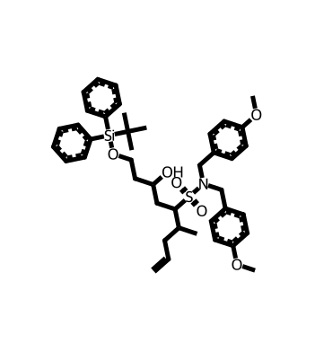 C=CCC(C)C(CC(O)CCO[Si](c1ccccc1)(c1ccccc1)C(C)(C)C)S(=O)(=O)N(Cc1ccc(OC)cc1)Cc1ccc(OC)cc1